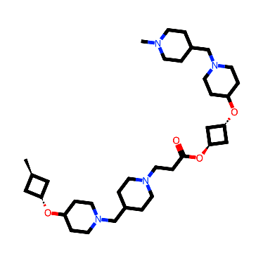 CN1CCC(CN2CCC(O[C@H]3C[C@H](OC(=O)CCN4CCC(CN5CCC(O[C@H]6C[C@H](C)C6)CC5)CC4)C3)CC2)CC1